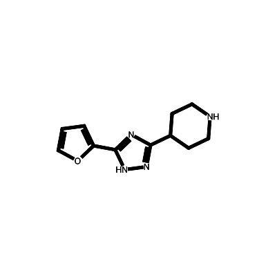 c1coc(-c2nc(C3CCNCC3)n[nH]2)c1